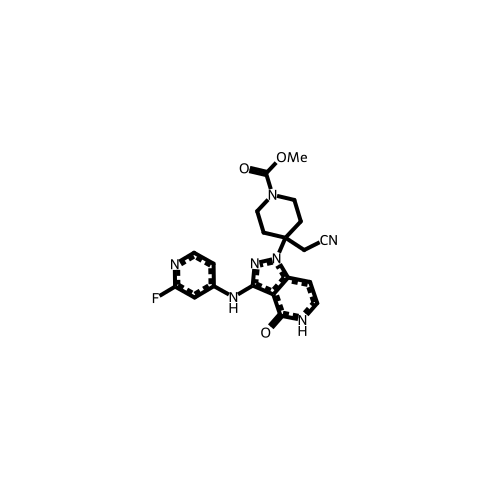 COC(=O)N1CCC(CC#N)(n2nc(Nc3ccnc(F)c3)c3c(=O)[nH]ccc32)CC1